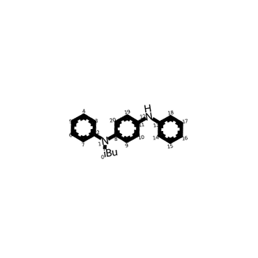 CCC(C)N(c1ccccc1)c1ccc(Nc2ccccc2)cc1